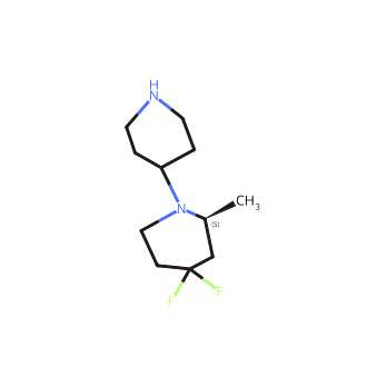 C[C@H]1CC(F)(F)CCN1C1CCNCC1